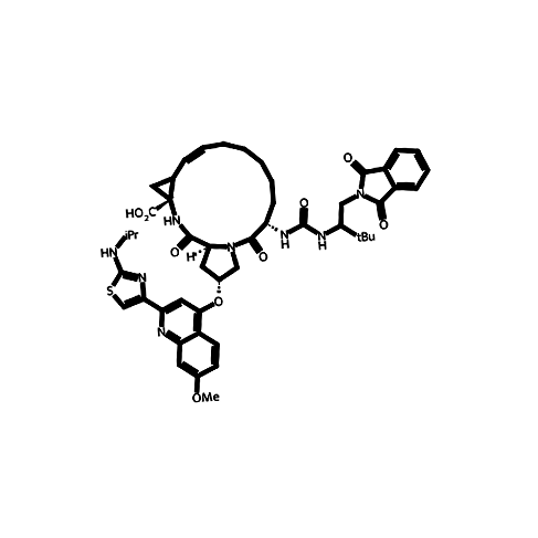 COc1ccc2c(O[C@@H]3C[C@H]4C(=O)N[C@]5(C(=O)O)CC5/C=C\CCCCC[C@H](NC(=O)NC(CN5C(=O)c6ccccc6C5=O)C(C)(C)C)C(=O)N4C3)cc(-c3csc(NC(C)C)n3)nc2c1